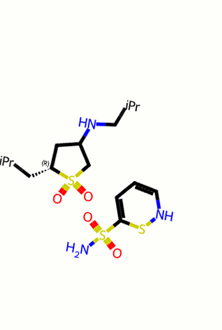 CC(C)CNC1C[C@@H](CC(C)C)S(=O)(=O)C1.NS(=O)(=O)C1=CC=CNS1